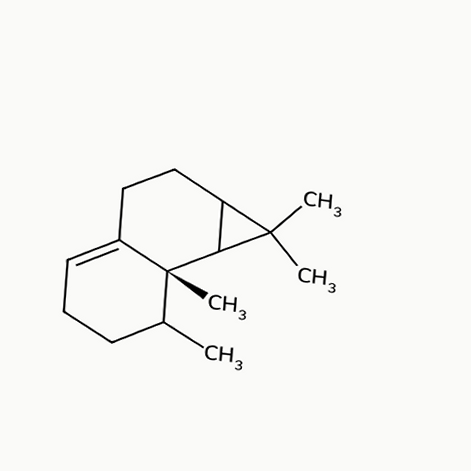 CC1CCC=C2CCC3C(C3(C)C)[C@@]21C